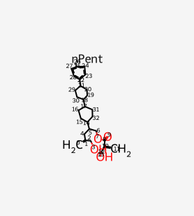 C=C(CO)CC(COC(=O)C(=C)CO)C1CCC(C2CCC(c3ccc(CCCCC)cc3)CC2)CC1